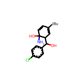 CC(C)(C)C1=CC(C(O)c2ccc(Cl)cc2)C(N)(O)C=C1